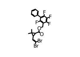 CC1(C)C(C=C(Br)Br)C1C(=O)OCc1c(F)c(F)c(F)c(-c2ccccc2)c1F